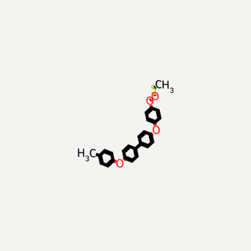 CSOOc1ccc(Oc2ccc(-c3ccc(Oc4ccc(C)cc4)cc3)cc2)cc1